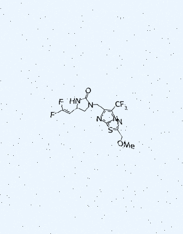 COCc1nn2c(C(F)(F)F)c(CN3CC(C=C(F)F)NC3=O)nc2s1